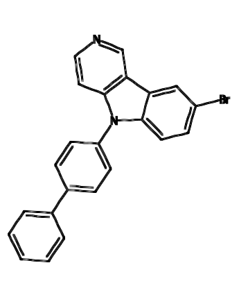 Brc1ccc2c(c1)c1cnccc1n2-c1ccc(-c2ccccc2)cc1